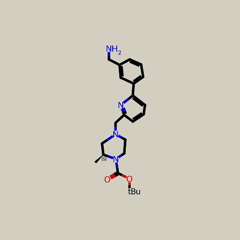 C[C@H]1CN(Cc2cccc(-c3cccc(CN)c3)n2)CCN1C(=O)OC(C)(C)C